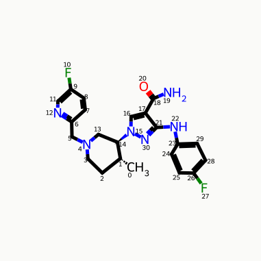 C[C@@H]1CCN(Cc2ccc(F)cn2)C[C@H]1n1cc(C(N)=O)c(Nc2ccc(F)cc2)n1